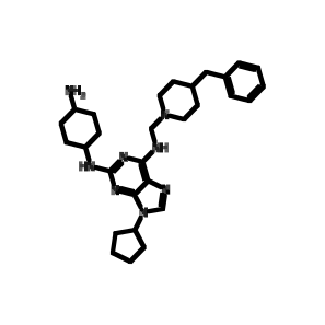 NC1CCC(Nc2nc(NCN3CCC(Cc4ccccc4)CC3)c3ncn(C4CCCC4)c3n2)CC1